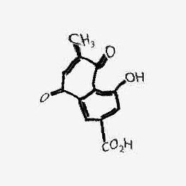 CC1=CC(=O)c2cc(C(=O)O)cc(O)c2C1=O